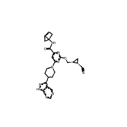 N#C[C@@H]1C[C@@H]1COc1nc(C(=O)NC23CC=C2C3)cc(N2CCC(c3n[nH]c4ncncc34)CC2)n1